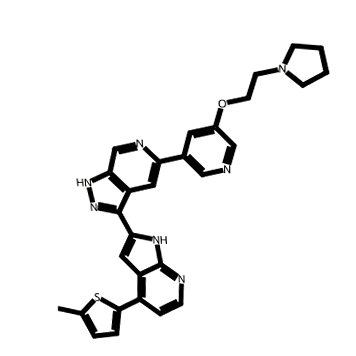 Cc1ccc(-c2ccnc3[nH]c(-c4n[nH]c5cnc(-c6cncc(OCCN7CCCC7)c6)cc45)cc23)s1